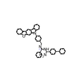 NC(N/C(=N\Cc1ccc(-n2c3ccccc3c3cc4c(cc32)oc2ccccc24)cc1)c1ccccc1)c1ccc(-c2ccccc2)cc1